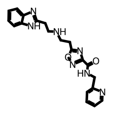 O=C(NCc1ccccn1)c1noc(CCNCCc2nc3ccccc3[nH]2)n1